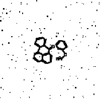 CCCOc1ccccc1.O=C1c2ccccc2-c2cccc3cccc1c23